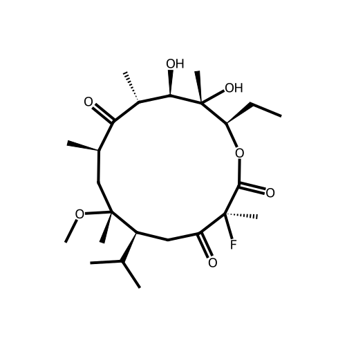 CC[C@H]1OC(=O)[C@@](C)(F)C(=O)C[C@@H](C(C)C)[C@](C)(OC)C[C@@H](C)C(=O)[C@H](C)[C@@H](O)[C@]1(C)O